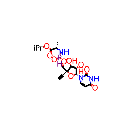 C#C[C@]1(CO[PH](=O)N[C@@H](C)C(=O)OC(C)C)O[C@@H](n2ccc(=O)[nH]c2=O)[C@H](O)[C@@H]1O